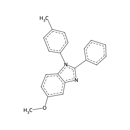 COc1ccc2c(c1)nc(-c1ccccc1)n2-c1ccc(C)cc1